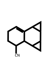 N#CC1CCC=C2C3CC3C3CC3C21